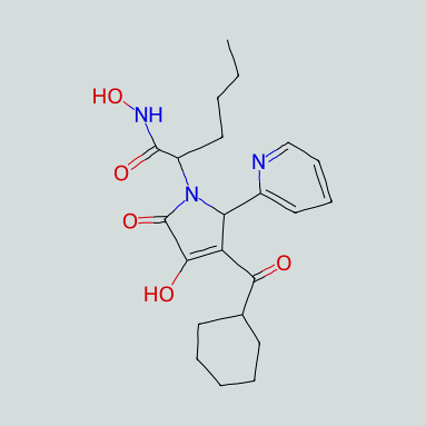 CCCCC(C(=O)NO)N1C(=O)C(O)=C(C(=O)C2CCCCC2)C1c1ccccn1